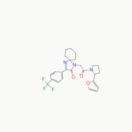 O=C(CN1C(=O)C(c2ccc(C(F)(F)F)cc2)=NC12CCCCC2)N1CCCC1c1ccco1